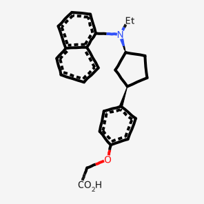 CCN(c1cccc2ccccc12)[C@H]1CC[C@@H](c2ccc(OCC(=O)O)cc2)C1